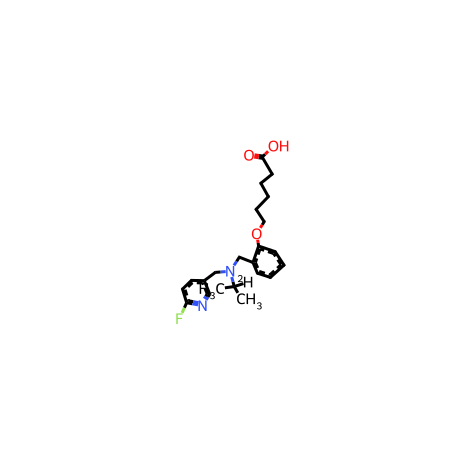 [2H]C(C)(C)N(Cc1ccc(F)nc1)Cc1ccccc1OCCCCCC(=O)O